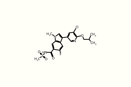 CC(C)COc1ncc(-c2cn(C)c3cc(C(=O)NS(C)(=O)=O)c(F)cc23)cc1Cl